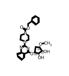 CO[C@H]1C[C@@H](Oc2nc(N3CCN(C(=O)OCc4ccccc4)CC3)nc3ccccc23)[C@@H](O)[C@@H]1O